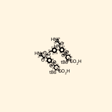 CC(C)(C)C1CC(S(=O)(=O)c2ccc(N(C(=O)OCc3ccccc3)C(=O)C3CNC3)cc2)CCN1C(=O)O.CC(C)(C)C1CC(S(=O)(=O)c2ccc(NC(=O)C3CNC3)cc2)CCN1C(=O)O